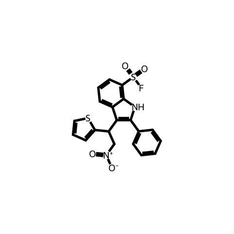 O=[N+]([O-])CC(c1cccs1)c1c(-c2ccccc2)[nH]c2c(S(=O)(=O)F)cccc12